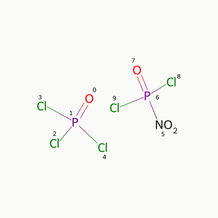 O=P(Cl)(Cl)Cl.O=[N+]([O-])P(=O)(Cl)Cl